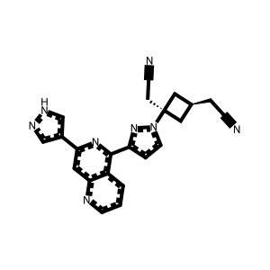 N#CC[C@H]1C[C@@](CC#N)(n2ccc(-c3nc(-c4cn[nH]c4)cc4ncccc34)n2)C1